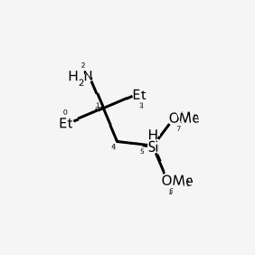 CCC(N)(CC)C[SiH](OC)OC